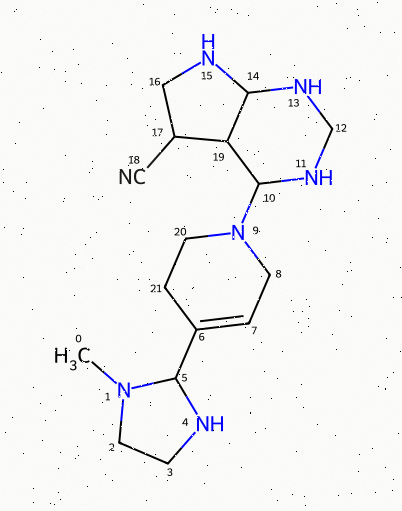 CN1CCNC1C1=CCN(C2NCNC3NCC(C#N)C32)CC1